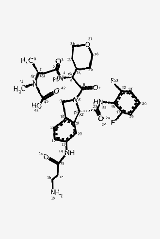 C[C@@H](C(=O)N[C@H](C(=O)N1Cc2ccc(NC(=O)CCN)cc2[C@H]1C(=O)Nc1c(F)cccc1F)C1CCOCC1)N(C)C(=O)O